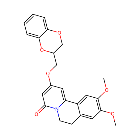 COc1cc2c(cc1OC)-c1cc(OCC3COc4ccccc4O3)cc(=O)n1CC2